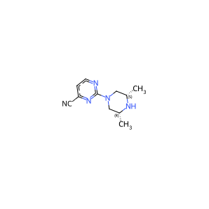 C[C@@H]1CN(c2nccc(C#N)n2)C[C@H](C)N1